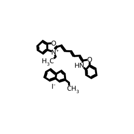 CC[n+]1c(C=CC=CC=C2Nc3ccccc3O2)oc2ccccc21.CCc1ccc2ccccc2c1.[I-]